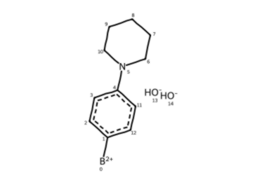 [B+2]c1ccc(N2CCCCC2)cc1.[OH-].[OH-]